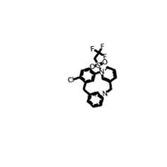 NCC1=C[N+](c2ccc(Cl)c(Cc3ccccc3)c2)(S(=O)(=O)CC(F)(F)F)CC=C1